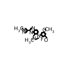 COc1cc(C=O)c(F)c(N2CCN(C)Cc3c2ccc2ncc(-c4cnn(C)c4)nc32)c1